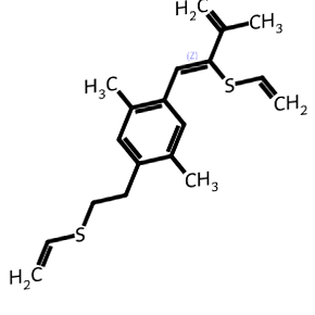 C=CSCCc1cc(C)c(/C=C(\SC=C)C(=C)C)cc1C